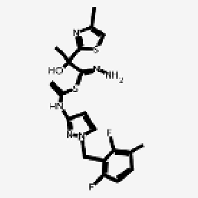 C=C(Nc1ccn(Cc2c(F)ccc(C)c2F)n1)S/C(=N\N)C(C)(O)c1nc(C)cs1